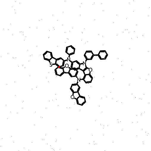 c1ccc(-c2cccc(-n3c4cc(N(c5ccccc5)c5ccc6sc7ccccc7c6c5)ccc4c4c5c(N(c6ccc7oc8ccccc8c7c6)c6ccc7oc8ccccc8c7c6)cccc5oc43)c2)cc1